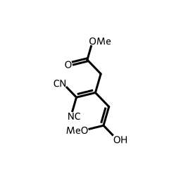 [C-]#[N+]C([N+]#[C-])=C(/C=C(/O)OC)CC(=O)OC